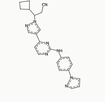 N#CCC(C1CCC1)n1cc(-c2ccnc(Nc3ccc(-n4cccn4)cc3)n2)cn1